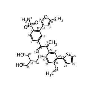 C=C(C(=O)c1ccc(S(N)(=O)=O)c(-c2cc(C)on2)c1)c1cc(-c2cccs2)c(OC)cc1OCC(CO)CO